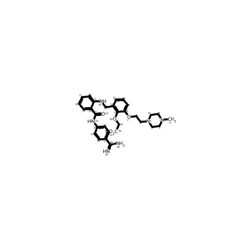 CN1CCN(CCOc2cccc(CNc3ccccc3C(=O)Nc3ccc(C(=N)N)cc3)c2OCC(=O)O)CC1